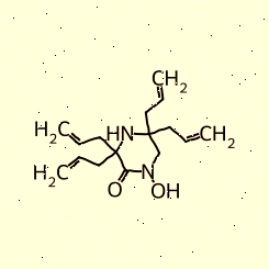 C=CCC1(CC=C)CN(O)C(=O)C(CC=C)(CC=C)N1